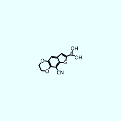 N#Cc1c2c(cc3cc(B(O)O)sc13)OCCO2